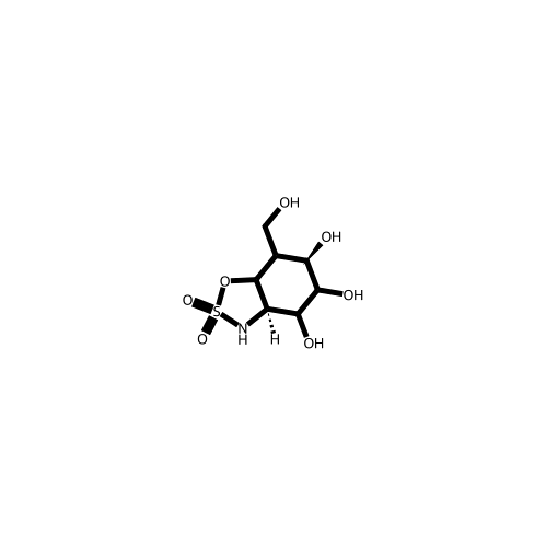 O=S1(=O)N[C@@H]2C(O)C(O)[C@H](O)C(CO)C2O1